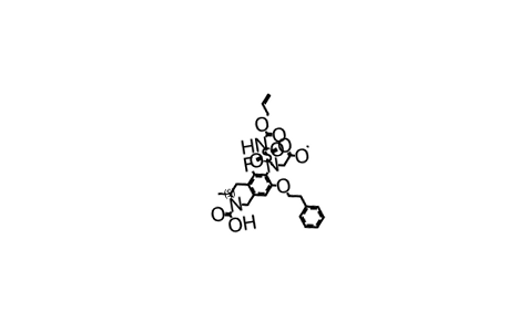 C=CCOC(=O)NS(=O)(=O)N(CC(=O)OC)c1c(OCCc2ccccc2)cc2c(c1F)C[C@H](C)N(C(=O)O)C2